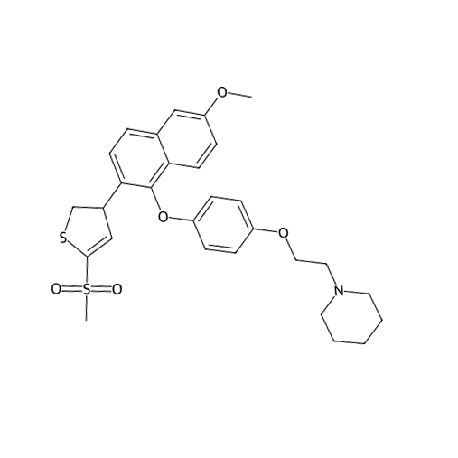 COc1ccc2c(Oc3ccc(OCCN4CCCCC4)cc3)c(C3C=C(S(C)(=O)=O)SC3)ccc2c1